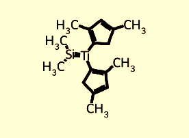 CC1=CC(C)=[C]([Ti]([C]2=C(C)C=C(C)C2)=[Si](C)C)C1